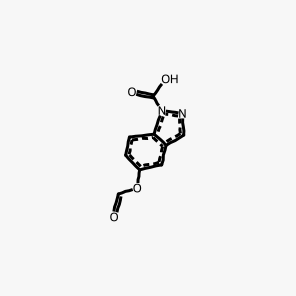 O=COc1ccc2c(cnn2C(=O)O)c1